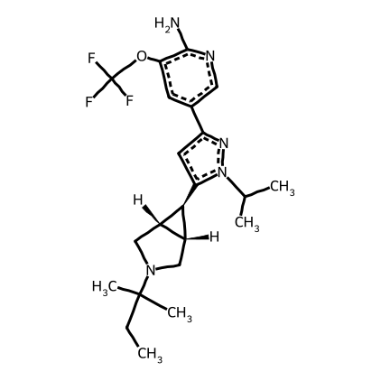 CCC(C)(C)N1C[C@@H]2[C@H](C1)[C@H]2c1cc(-c2cnc(N)c(OC(F)(F)F)c2)nn1C(C)C